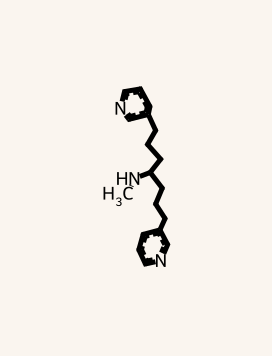 CNC(CCCc1cccnc1)CCCc1cccnc1